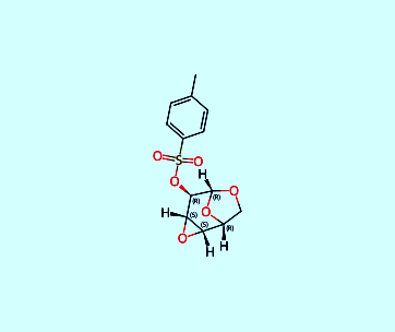 Cc1ccc(S(=O)(=O)O[C@H]2[C@@H]3OC[C@@H](O3)[C@@H]3O[C@@H]32)cc1